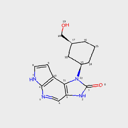 O=c1[nH]c2cnc3[nH]ccc3c2n1[C@@H]1CCC[C@H](CO)C1